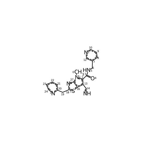 Cn1c(C(=O)NCc2cccnc2)c(C=N)c2sc(Cc3ccccn3)nc21